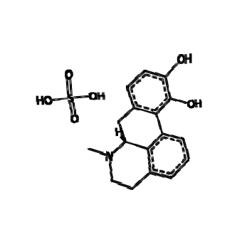 CN1CCc2cccc3c2[C@H]1Cc1ccc(O)c(O)c1-3.O=S(=O)(O)O